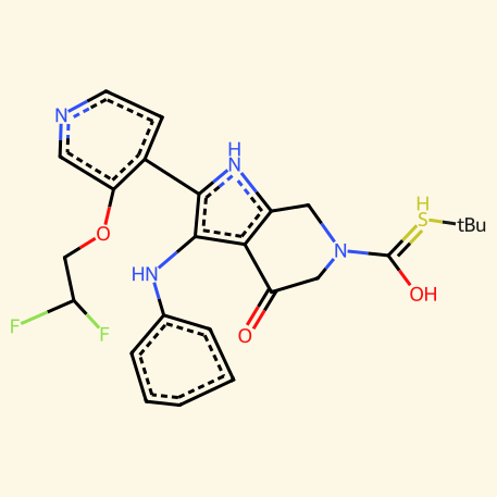 CC(C)(C)[SH]=C(O)N1CC(=O)c2c([nH]c(-c3ccncc3OCC(F)F)c2Nc2ccccc2)C1